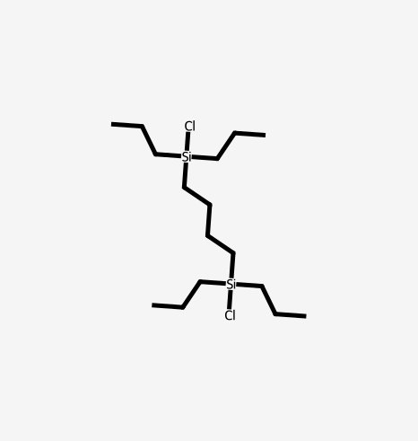 CCC[Si](Cl)(CCC)CCCC[Si](Cl)(CCC)CCC